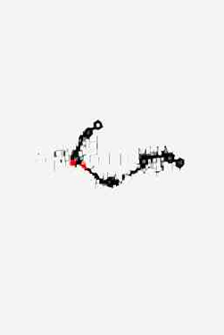 CC(=O)N[C@H]1[C@H]([C@H](O)[C@H](O)CNC(=O)c2ccc(C3CCCCC3)cc2)O[C@@](OCCCSCCNC(=O)c2ccc(C(=O)NCCSCCCO[C@]3(C(=O)O)C[C@H](O)[C@@H](NC(C)=O)[C@H]([C@H](O)[C@H](O)CNC(=O)c4ccc(C5CCCCC5)cc4)O3)cc2)(C(=O)O)C[C@@H]1O